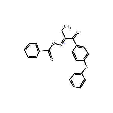 CC/C(=N\OC(=O)c1ccccc1)C(=O)c1ccc(Sc2ccccc2)cc1